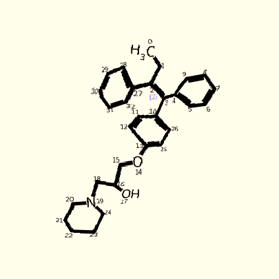 CC/C(=C(\c1ccccc1)c1ccc(OCC(O)CN2CCCCC2)cc1)c1ccccc1